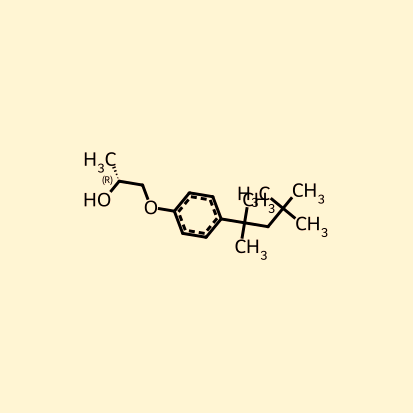 C[C@@H](O)COc1ccc(C(C)(C)CC(C)(C)C)cc1